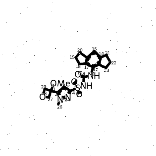 COC1(c2cc(S(=O)(=O)NC(=O)Nc3c4c(cc5c3CCC5)CCC4)nn2C)COC1